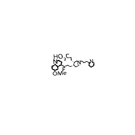 COc1ccc2nccc([C@H](F)CC[C@@H]3CCN(CCCc4ccccn4)C[C@H]3CCC(=O)O)c2c1